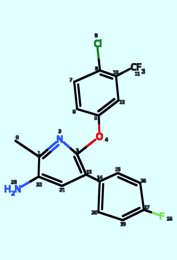 Cc1nc(Oc2ccc(Cl)c(C(F)(F)F)c2)c(-c2ccc(F)cc2)cc1N